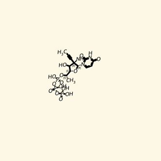 CC#C[C@@]1(N)C(O)[C@@H]([C@H](C)OP(=O)(O)OP(=O)(O)OP(=O)(O)O)O[C@H]1n1ccc(=O)[nH]c1=O